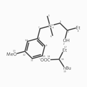 CCC(O)C[N+](C)(C)Cc1cccc(OC)c1.CCCCC(CC)C(=O)[O-]